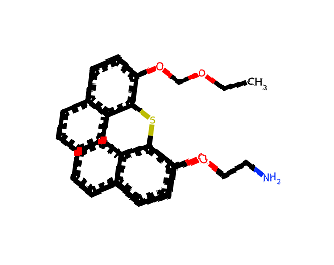 CCOCOc1ccc2ccccc2c1Sc1c(OCCN)ccc2ccccc12